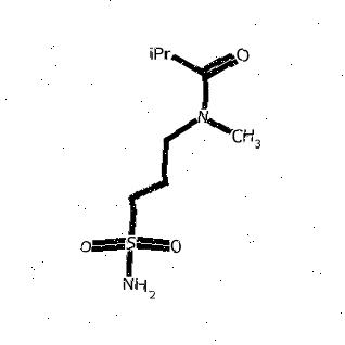 CC(C)C(=O)N(C)CCCS(N)(=O)=O